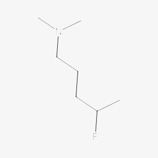 [CH2]CC(C)CCCN(C)C